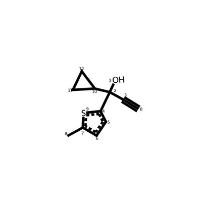 C#CC(O)(c1ccc(C)s1)C1CC1